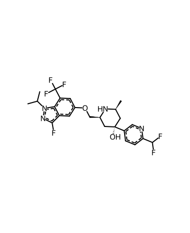 CC(C)n1nc(F)c2cc(OC[C@@H]3C[C@](O)(c4ccc(C(F)F)nc4)C[C@H](C)N3)cc(C(F)(F)F)c21